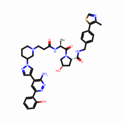 Cc1ncsc1-c1ccc(CNC(=O)[C@@H]2C[C@@H](O)CN2C(=O)[C@@H](NC(=O)CCN2CCCC(n3cc(-c4cc(-c5ccccc5O)nnc4N)cn3)C2)C(C)(C)C)cc1